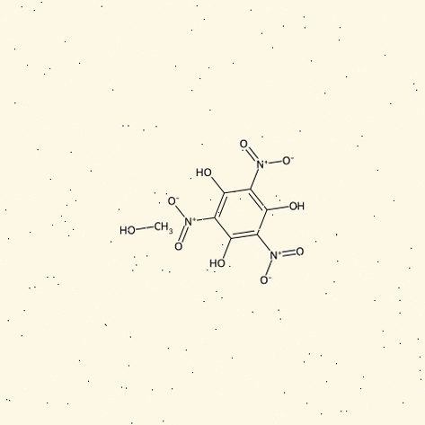 CO.O=[N+]([O-])c1c(O)c([N+](=O)[O-])c(O)c([N+](=O)[O-])c1O